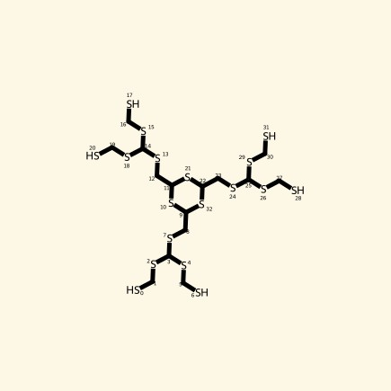 SCSC(SCS)SCC1SC(CSC(SCS)SCS)SC(CSC(SCS)SCS)S1